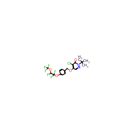 CC(C)(C)n1ncc(OCc2ccc(OC(F)(F)C(F)OC(F)(F)F)cc2)c(Cl)c1=O